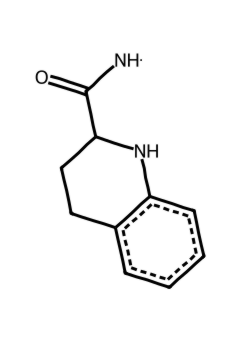 [NH]C(=O)C1CCc2ccccc2N1